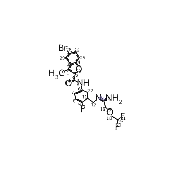 Cc1c(C(=O)NC2=CC=C(F)C(C/N=C(/N)COCC(F)F)C2)oc2ccc(Br)cc12